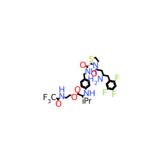 CC(C)C(Nc1ccc(CNC(=O)[C@@H]2SCCN2C(=O)C[C@H](N)Cc2cc(F)c(F)cc2F)cc1)C(=O)OCCNC(=O)C(F)(F)F